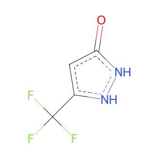 O=c1cc(C(F)(F)F)[nH][nH]1